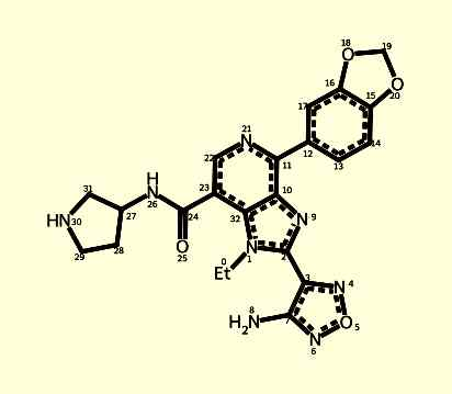 CCn1c(-c2nonc2N)nc2c(-c3ccc4c(c3)OCO4)ncc(C(=O)NC3CCNC3)c21